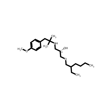 CCCCC(CC)COC[C@@H](O)CNC(C)(C)Cc1ccc(OC)cc1